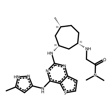 Cc1cc(Nc2nc(N[C@@H]3C[C@H](C)CC[C@H](NCC(=O)N(C)C)C3)nc3ccsc23)n[nH]1